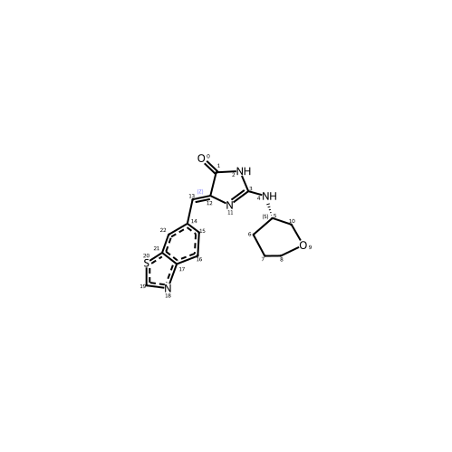 O=C1NC(N[C@H]2CCCOC2)=N/C1=C\c1ccc2ncsc2c1